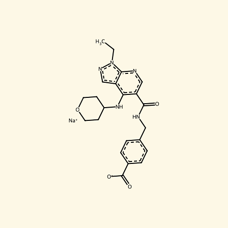 CCn1ncc2c(NC3CCOCC3)c(C(=O)NCc3ccc(C(=O)[O-])cc3)cnc21.[Na+]